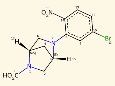 O=C(O)N1C[C@@H]2C[C@H]1CN2c1cc(Br)ccc1[N+](=O)[O-]